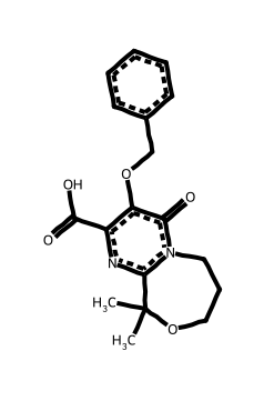 CC1(C)OCCCn2c1nc(C(=O)O)c(OCc1ccccc1)c2=O